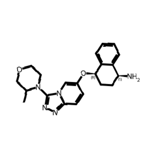 CC1COCCN1c1nnc2ccc(O[C@@H]3CC[C@H](N)c4ccccc43)cn12